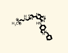 CS(=O)(=O)CCNCc1nc(-c2cc3c(Nc4ccc5c(cnn5Cc5ccccc5)c4)ncnc3cn2)cs1